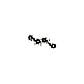 O=C(NCCC1CCCCC1)c1cccc(Nc2ccc(C=Cc3ccccn3)c(F)c2)c1